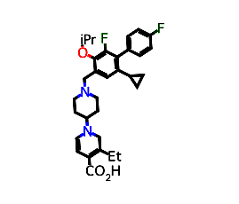 CCC1=C(C(=O)O)C=CN(C2CCN(Cc3cc(C4CC4)c(-c4ccc(F)cc4)c(F)c3OC(C)C)CC2)C1